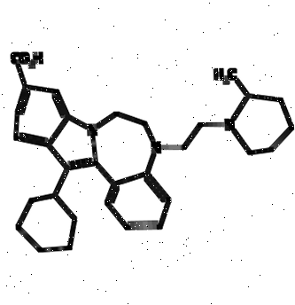 CC1CCCCN1CCN1CCn2c(c(C3CCCCC3)c3ccc(C(=O)O)cc32)-c2ccccc21